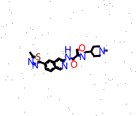 Cc1nnc(-c2ccc3cnc(NC(=O)c4coc(C5CCN(C)CC5)n4)cc3c2)s1